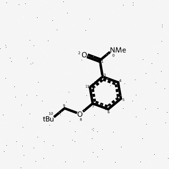 CNC(=O)c1cccc(OCC(C)(C)C)c1